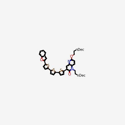 CCCCCCCCCCCCOc1ccc2c(cc(-c3ccc(-c4ccc(-c5ccc(-c6cc7ccccc7o6)s5)s4)s3)c(=O)n2CCCCCCCCCCCC)n1